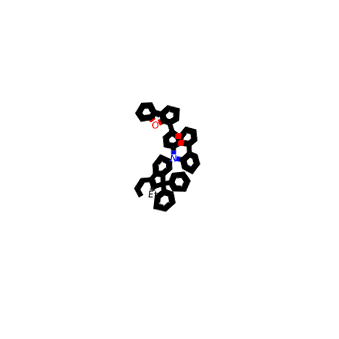 C/C=C\C1=C(CC)C(c2ccccc2)(c2ccccc2)c2cc(N(c3ccc(-c4cccc5c4oc4ccccc45)cc3)c3ccccc3-c3ccccc3)ccc21